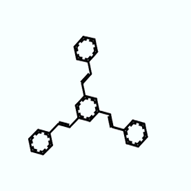 C(=Cc1cc(C=Cc2ccccc2)cc(C=Cc2ccccc2)c1)c1ccccc1